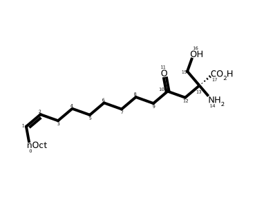 CCCCCCCC/C=C\CCCCCCCC(=O)C[C@](N)(CO)C(=O)O